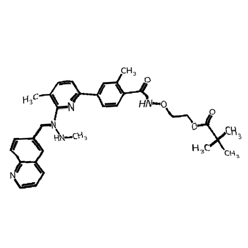 CNN(Cc1ccc2ncccc2c1)c1nc(-c2ccc(C(=O)NOCCOC(=O)C(C)(C)C)c(C)c2)ccc1C